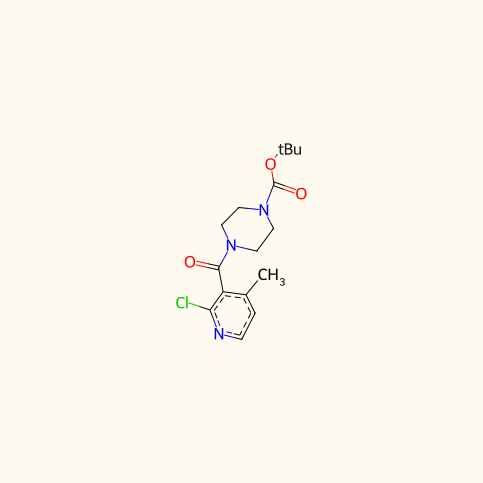 Cc1ccnc(Cl)c1C(=O)N1CCN(C(=O)OC(C)(C)C)CC1